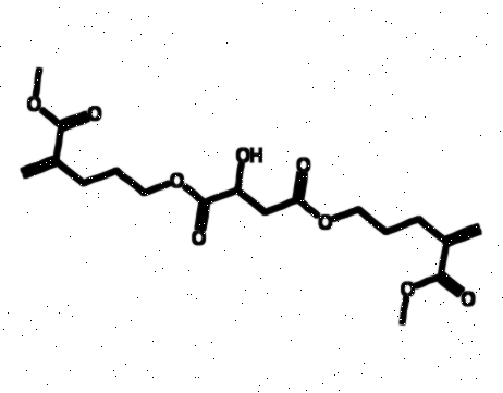 C=C(CCCOC(=O)CC(O)C(=O)OCCCC(=C)C(=O)OC)C(=O)OC